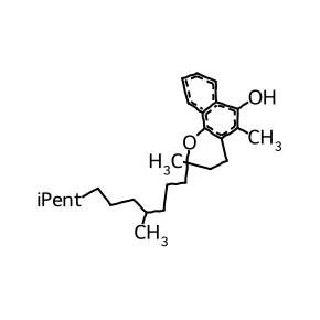 CCCC(C)CCCC(C)CCCC1(C)CCc2c(C)c(O)c3ccccc3c2O1